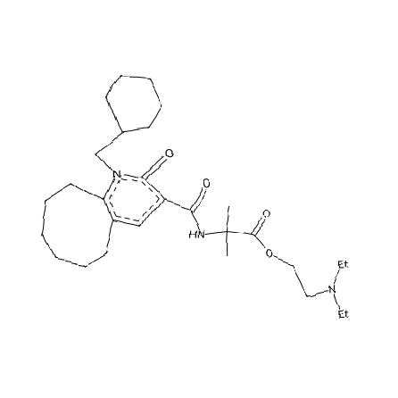 CCN(CC)CCOC(=O)C(C)(C)NC(=O)c1cc2c(n(CC3CCCCC3)c1=O)CCCCCC2